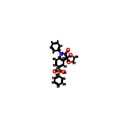 O=C1N(c2ccccc2)c2ccc(S(=O)(=O)c3ccccc3)cc2C12OCCO2